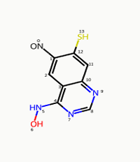 O=Nc1cc2c(NO)ncnc2cc1S